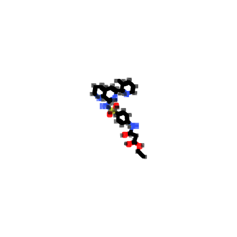 CCOC(=O)CC(=O)Nc1ccc(S(=O)(=O)Nc2nc(-c3ncccc3C)cc3cccnc23)cc1